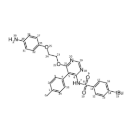 Cc1ccc(-c2c(NS(=O)(=O)c3ccc(C(C)(C)C)cc3)ncnc2OCCOc2ccc(N)cc2)cc1